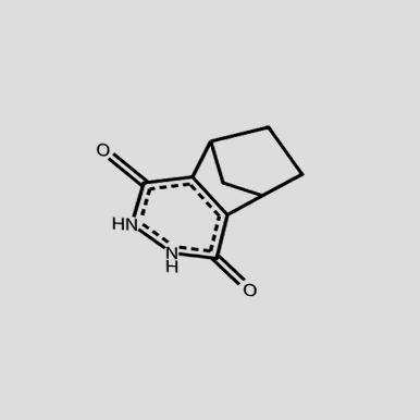 O=c1[nH][nH]c(=O)c2c1C1CCC2C1